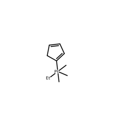 C[CH2][Pt]([CH3])([CH3])([CH3])[C]1=CC=CC1